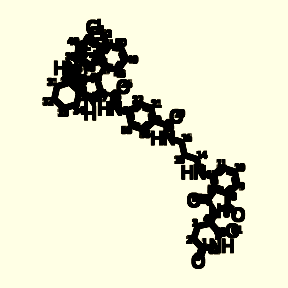 O=C1CCC(N2C(=O)c3cccc(NCCCNC(=O)c4ccc(NC(=O)[C@@H]5NC6(CCCCC6)[C@@]6(C(=O)Nc7cc(Cl)ccc76)[C@H]5c5cccc(Cl)c5F)cc4)c3C2=O)C(=O)N1